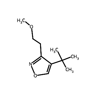 COCCc1nocc1C(C)(C)C